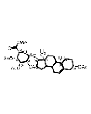 COC(=O)[C@H]1O[C@@H](O[C@@H]2CCC3C4CC=C5C[C@H](OC(C)=O)CC[C@]5(C)C4CC[C@@]32C)[C@H](OC(C)=O)[C@@H](OC(C)=O)[C@@H]1OC(C)=O